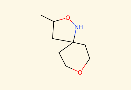 CC1CC2(CCOCC2)NO1